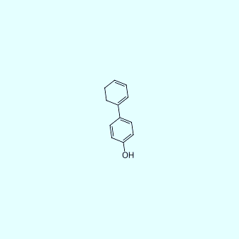 Oc1ccc(C2=CC=CCC2)cc1